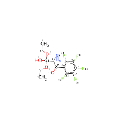 CCO[Si](O)(OCC)C(N)C(=O)c1c(F)c(F)c(F)c(F)c1F